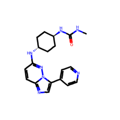 CNC(=O)N[C@H]1CC[C@H](Nc2ccc3ncc(-c4ccncc4)n3n2)CC1